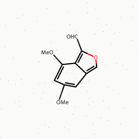 COc1cc(OC)c2c(C=O)occ2c1